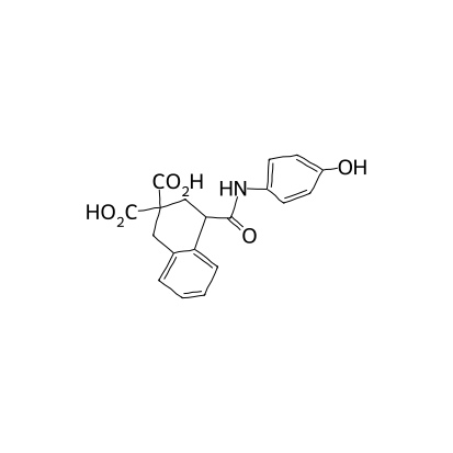 O=C(Nc1ccc(O)cc1)C1CC(C(=O)O)(C(=O)O)Cc2ccccc21